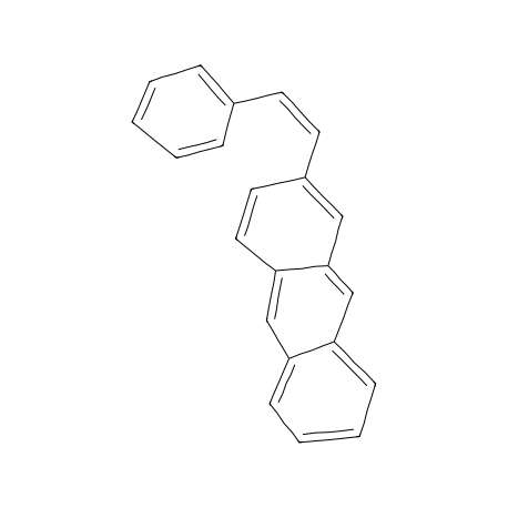 C(=C/c1ccc2cc3ccccc3cc2c1)/c1ccccc1